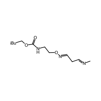 CCC(C)COC(=O)NCCON=CCC=NC